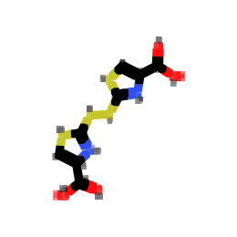 O=C(O)c1csc(SSc2nc(C(=O)O)cs2)n1